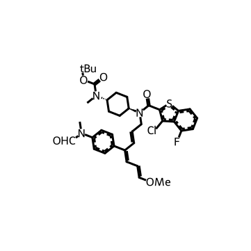 CO/C=C/C=C(\C=C\CN(C(=O)c1sc2cccc(F)c2c1Cl)[C@H]1CC[C@H](N(C)C(=O)OC(C)(C)C)CC1)c1ccc(N(C)C=O)cc1